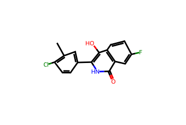 Cc1cc(-c2[nH]c(=O)c3cc(F)ccc3c2O)ccc1Cl